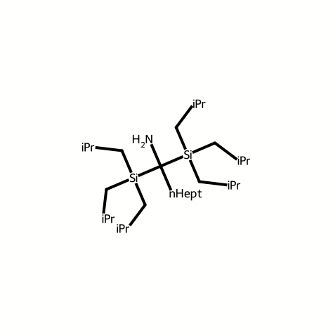 CCCCCCCC(N)([Si](CC(C)C)(CC(C)C)CC(C)C)[Si](CC(C)C)(CC(C)C)CC(C)C